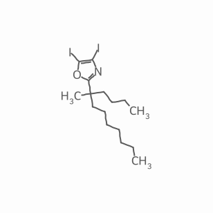 CCCCCCCC(C)(CCCC)c1nc(I)c(I)o1